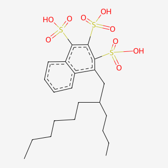 CCCCCCC(CCCC)Cc1c(S(=O)(=O)O)c(S(=O)(=O)O)c(S(=O)(=O)O)c2ccccc12